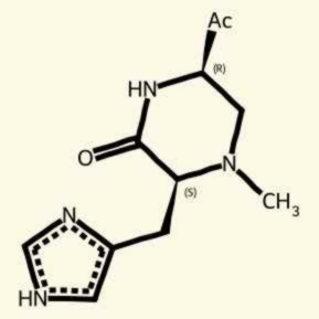 CC(=O)[C@H]1CN(C)[C@@H](Cc2c[nH]cn2)C(=O)N1